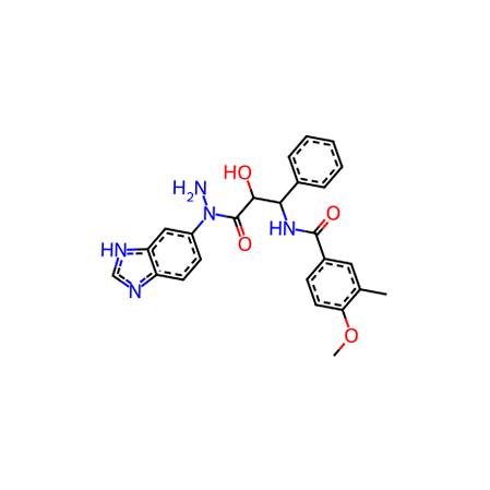 COc1ccc(C(=O)NC(c2ccccc2)C(O)C(=O)N(N)c2ccc3nc[nH]c3c2)cc1C